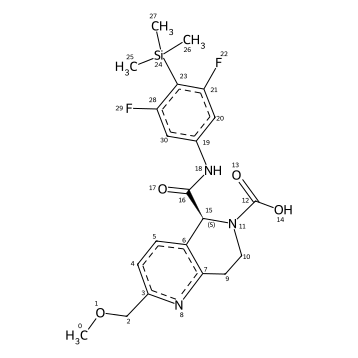 COCc1ccc2c(n1)CCN(C(=O)O)[C@@H]2C(=O)Nc1cc(F)c([Si](C)(C)C)c(F)c1